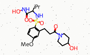 COc1ccc(S(=O)(=O)NC(C(=O)NO)C(C)C)c(CCC(=O)N2CCC(O)CC2)c1